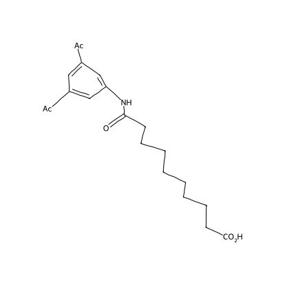 CC(=O)c1cc(NC(=O)CCCCCCCCC(=O)O)cc(C(C)=O)c1